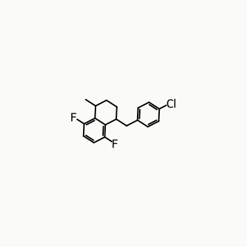 CC1CCC(Cc2ccc(Cl)cc2)c2c(F)ccc(F)c21